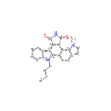 Cn1ccc2ccc3c(c4c(c5c6ccccc6n(CCCBr)c35)C(=O)NC4=O)c21